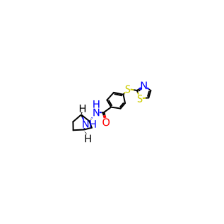 O=C(N[C@@H]1C[C@H]2CC[C@@H]1N2)c1ccc(Sc2nccs2)cc1